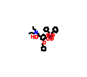 CCCN(CCC)CC(O)c1ccc(OP(=O)(OCc2ccccc2)OCc2ccccc2)c(OCc2ccccc2)c1